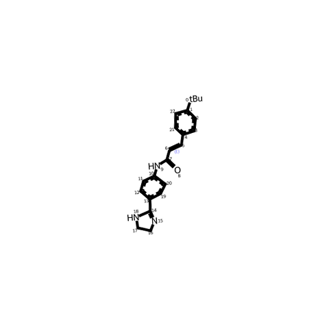 CC(C)(C)c1ccc(/C=C/C(=O)Nc2ccc(C3=NCCN3)cc2)cc1